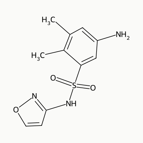 Cc1cc(N)cc(S(=O)(=O)Nc2ccon2)c1C